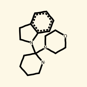 c1ccc2c(c1)CCN2C1(N2CCOCC2)CCCC[N]1